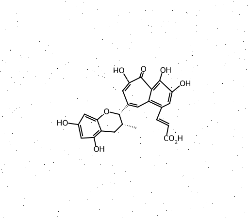 C[C@@H]1Cc2c(O)cc(O)cc2O[C@@H]1c1cc(O)c(=O)c2c(O)c(O)cc(/C=C/C(=O)O)c2c1